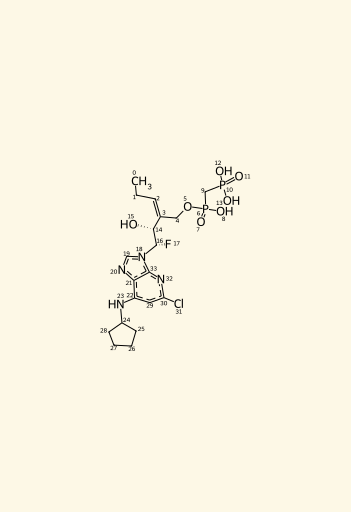 CC/C=C(/COP(=O)(O)CP(=O)(O)O)[C@@H](O)[C@H](F)n1cnc2c(NC3CCCC3)cc(Cl)nc21